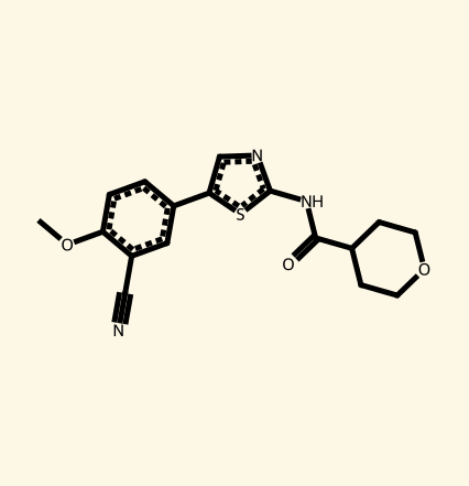 COc1ccc(-c2cnc(NC(=O)C3CCOCC3)s2)cc1C#N